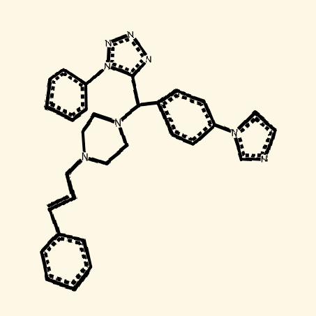 C(=Cc1ccccc1)CN1CCN(C(c2ccc(-n3ccnc3)cc2)c2nnnn2-c2ccccc2)CC1